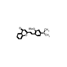 COc1cc(N(C)C)ccc1C=Cc1cc(=O)c2ccccc2o1